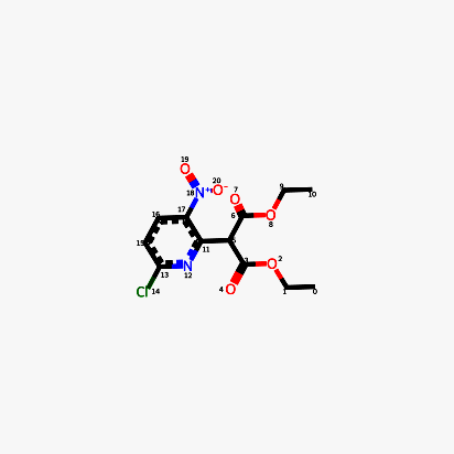 CCOC(=O)C(C(=O)OCC)c1nc(Cl)ccc1[N+](=O)[O-]